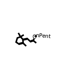 CCCCCOC(C)=CC=C1C(C)=CCCC1(C)C